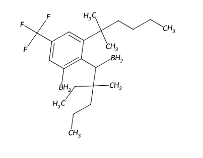 Bc1cc(C(F)(F)F)cc(C(C)(C)CCCC)c1C(B)C(C)(CC)CCC